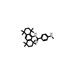 CNc1ccc(C(=O)Nc2c3c(cc4c2C(C)(C)CCC4(C)C)C(C)(C)CCC3(C)C)cc1